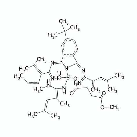 C=C(C=C(C)C)C(=N)/N=C1/c2ccc(C(C)(C)C)cc2/C(=N/C(=N)C(/C=C\C)=C(C)C)N1[Si](O)(N/C(NC)=C(\C)C=C(C)C)OC(=O)CCC(=O)OC